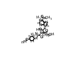 CCCOc1ccc(C[C@H](N)C(=O)NC2(C)[C@H](O)[C@H](n3cnc4c(N(C)C)ncnc43)O[C@@H]2CO)cc1